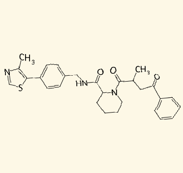 Cc1ncsc1-c1ccc(CNC(=O)C2CCCCN2C(=O)C(C)CC(=O)c2ccccc2)cc1